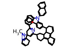 CN[C@]1(C2=CC=CCC2)C=C(C2CCC3=c4ccccc4=C4C=CCC(c5ccc6c7ccccc7n(-c7ccc8ccccc8c7)c6c5)C4C3C2)N=C(c2ccccc2)C1